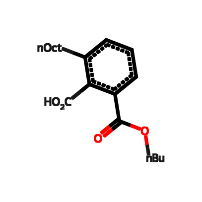 CCCCCCCCc1cccc(C(=O)OCCCC)c1C(=O)O